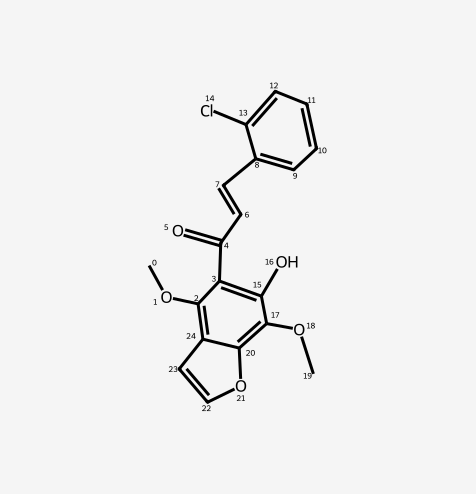 COc1c(C(=O)C=Cc2ccccc2Cl)c(O)c(OC)c2occc12